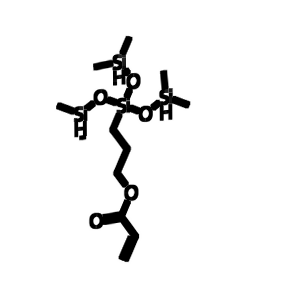 C=CC(=O)OCCC[Si](O[SiH](C)C)(O[SiH](C)C)O[SiH](C)C